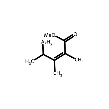 COC(=O)C(C)=C(C)C(C)[AsH2]